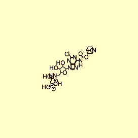 O=C(Nc1nc(Cl)nc2c1ncn2C1OC(CNP(=O)(O)CP(=O)(O)O)C(O)C1O)OC1CN2CCC1CC2